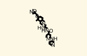 Cc1c(OCc2cnco2)ccc2c1CCN(C[C@@H](O)CNC(=O)c1ccnc(Nc3cccnc3)c1)C2